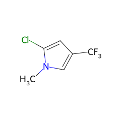 Cn1cc(C(F)(F)F)cc1Cl